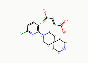 Brc1cccc(N2CCC3(CCNCC3)CC2)n1.O=C(O)/C=C/C(=O)O